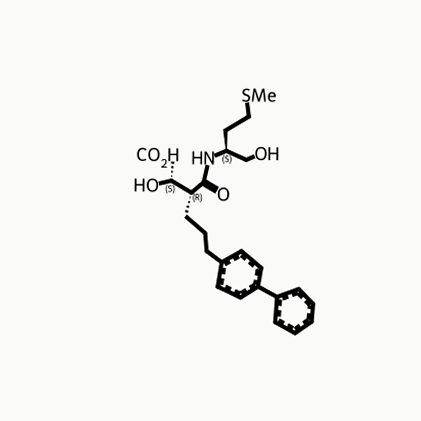 CSCC[C@@H](CO)NC(=O)[C@H](CCCc1ccc(-c2ccccc2)cc1)[C@H](O)C(=O)O